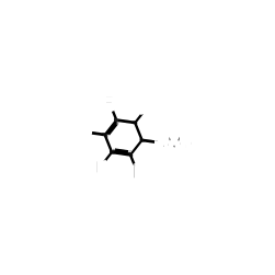 CSC1C(F)=C(F)C(F)=C(F)C1F